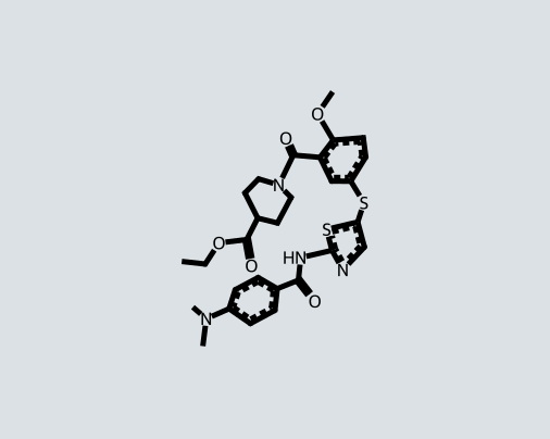 CCOC(=O)C1CCN(C(=O)c2cc(Sc3cnc(NC(=O)c4ccc(N(C)C)cc4)s3)ccc2OC)CC1